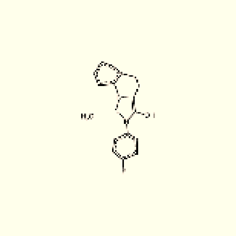 O.OC1=C2CCc3ccccc3N2[N]N1c1ccc(F)cc1